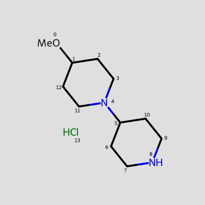 COC1CCN(C2CCNCC2)CC1.Cl